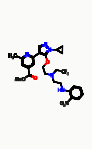 COC(=O)c1cc(C)nc(-c2cnn(C3CC3)c2OCCN(CCNc2ccccc2[N+](=O)[O-])CC(F)(F)F)c1